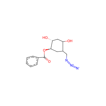 [N-]=[N+]=NCC1C[C@@H](OC(=O)c2ccccc2)[C@H](O)CC1O